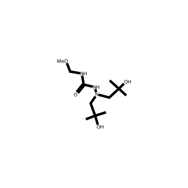 COCNC(=O)NN(CC(C)(C)O)CC(C)(C)O